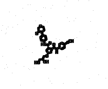 C#Cc1ccc(NC(=O)N2C[C@H](OCC(O)CO)C[C@@H]2C(=O)Nc2ccc(N3CCOCC3=O)cc2)cc1